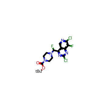 CC(C)(C)OC(=O)N1CCN(C(F)c2nc(Cl)nc3c(F)c(Cl)ncc23)CC1